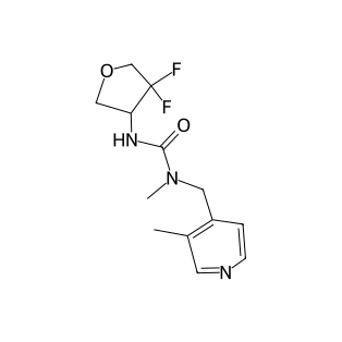 Cc1cnccc1CN(C)C(=O)NC1COCC1(F)F